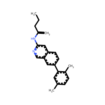 C=C(CCC)Nc1cc2ccc(-c3cc(C)ccc3C)cc2cn1